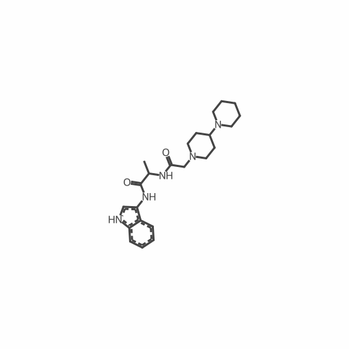 CC(NC(=O)CN1CCC(N2CCCCC2)CC1)C(=O)Nc1c[nH]c2ccccc12